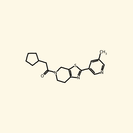 Cc1cncc(-c2nc3c(s2)CN(C(=O)CC2CCCC2)CC3)c1